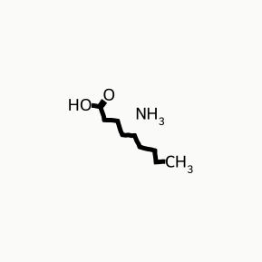 CCCCCCCCC(=O)O.N